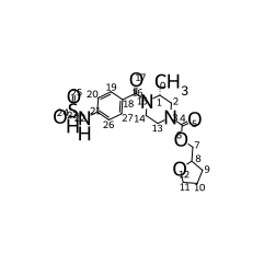 C[C@@H]1CN(C(=O)OCC2CCCO2)CCN1C(=O)c1ccc(N[SH](=O)=O)cc1